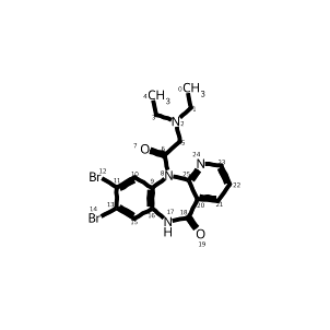 CCN(CC)CC(=O)N1c2cc(Br)c(Br)cc2NC(=O)c2cccnc21